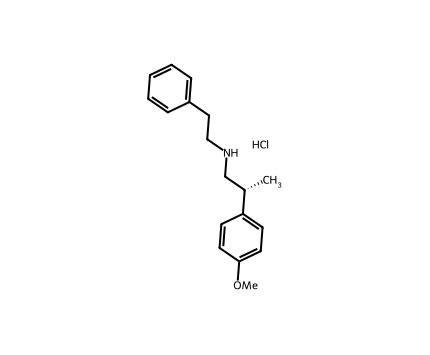 COc1ccc([C@@H](C)CNCCc2ccccc2)cc1.Cl